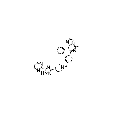 Cc1nc(-c2ccc(CN3CCC(c4n[nH]c(-c5ncccn5)n4)CC3)cc2)c(-c2ccccc2)c2nccn12